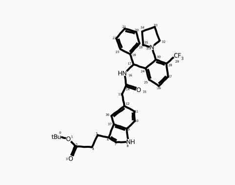 CC(C)(C)OC(=O)CCc1c[nH]c2ccc(CC(=O)NC(c3ccccc3)c3cccc(C(F)(F)F)c3N3CCCC3)cc12